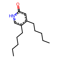 CCCCCc1c[nH]c(=O)cc1CCCCC